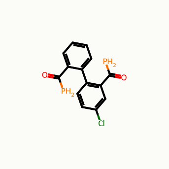 O=C(P)c1ccccc1-c1ccc(Cl)cc1C(=O)P